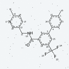 Cc1ccc(-c2cc(C(=O)NCc3ccc(C)nc3)cc(C(F)(F)F)c2)cc1